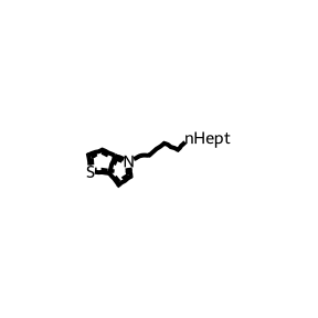 CCCCCCCCCCCn1ccc2sccc21